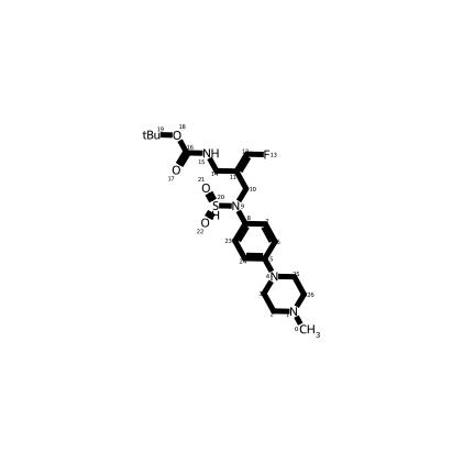 CN1CCN(c2ccc(N(C/C(=C\F)CNC(=O)OC(C)(C)C)[SH](=O)=O)cc2)CC1